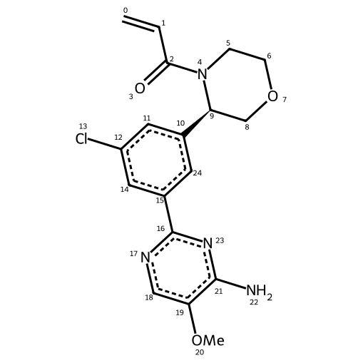 C=CC(=O)N1CCOC[C@H]1c1cc(Cl)cc(-c2ncc(OC)c(N)n2)c1